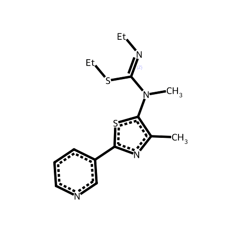 CC/N=C(\SCC)N(C)c1sc(-c2cccnc2)nc1C